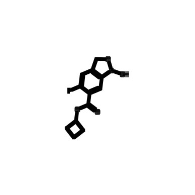 O=C(OC1CCC1)c1cc2c(cc1F)COB2O